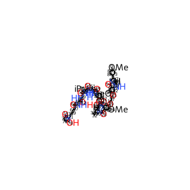 COc1ccc(C2=CN3C(=O)c4cc(OC)c(OCCCOc5cc6c(cc5OC)C(=O)N5CC7(CC7)C[C@H]5C(O)N6C(=O)OCc5ccc(NC(=O)C(C)NC(=O)[C@H](NC(=O)CNC(=O)CNC(=O)CCCCCN6C(=O)C=CC6O)C(C)C)cc5)cc4NC[C@H]3C2)cc1